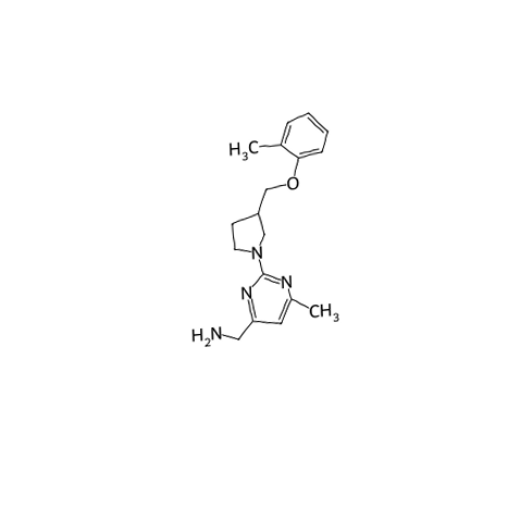 Cc1cc(CN)nc(N2CCC(COc3ccccc3C)C2)n1